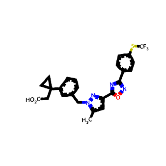 Cc1cc(-c2nc(-c3ccc(SC(F)(F)F)cc3)no2)nn1Cc1cccc(C2(CC(=O)O)CC2)c1